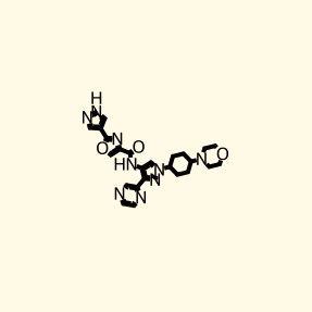 O=C(Nc1cn(C2CCC(N3CCOCC3)CC2)nc1-c1cnccn1)c1coc(-c2cn[nH]c2)n1